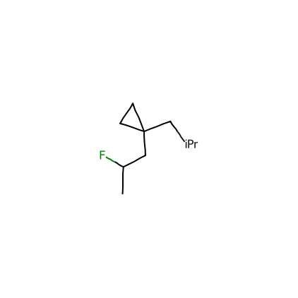 CC(C)CC1(CC(C)F)CC1